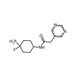 O=C(Cc1cncnc1)NC1CCC(F)(P)CC1